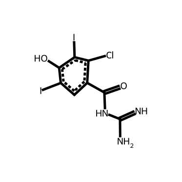 N=C(N)NC(=O)c1cc(I)c(O)c(I)c1Cl